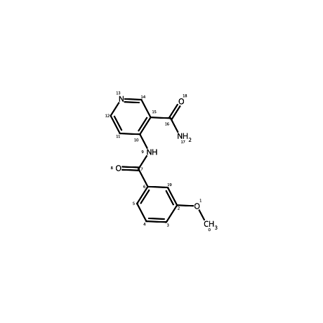 COc1cccc(C(=O)Nc2ccncc2C(N)=O)c1